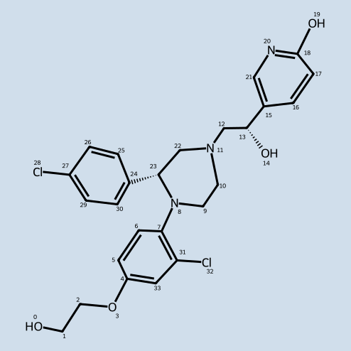 OCCOc1ccc(N2CCN(C[C@@H](O)c3ccc(O)nc3)C[C@H]2c2ccc(Cl)cc2)c(Cl)c1